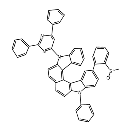 C[S+]([O-])c1ccccc1-c1ccc2c(c1)c1c3c(ccc1n2-c1ccccc1)ccc1c3c2ccccc2n1-c1cc(-c2ccccc2)nc(-c2ccccc2)n1